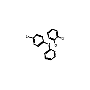 Clc1ccc(Oc2ccccc2)cc1.Clc1ccccc1Cl